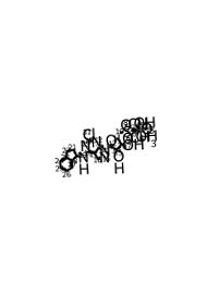 CC(C)(P(=O)(O)O)S(=O)(=O)C[C@H]1O[C@@H](n2ncc3c(NC4CCc5ccccc54)nc(Cl)nc32)[C@H](O)[C@@H]1O